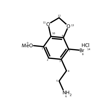 COc1cc(CCN)c(Br)c2c1OCO2.Cl